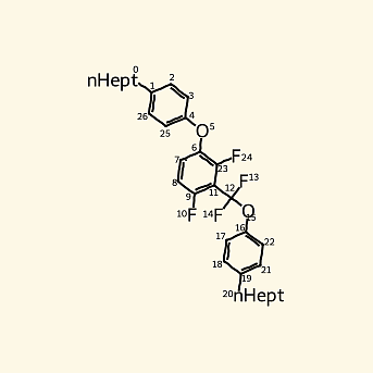 CCCCCCCc1ccc(Oc2[c]cc(F)c(C(F)(F)Oc3ccc(CCCCCCC)cc3)c2F)cc1